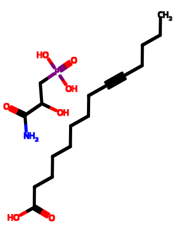 CCCCC#CCCCCCCCC(=O)O.NC(=O)C(O)CP(=O)(O)O